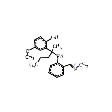 CCCC(C)(Pc1ccccc1/C=N/C)c1cc(OC)ccc1O